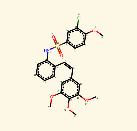 COc1ccc(S(=O)(=O)Nc2ccccc2/C=C\c2cc(OC)c(OC)c(OC)c2)cc1Cl